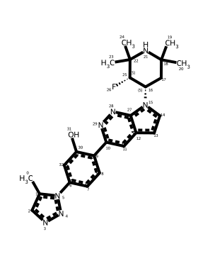 Cc1cnnn1-c1ccc(-c2cc3ccn([C@H]4CC(C)(C)NC(C)(C)[C@H]4F)c3nn2)c(O)c1